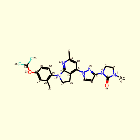 CC(=O)N1CCN(c2ccn(-c3cc(C)nc4c3CCN4c3ccc(OC(F)F)cc3C)n2)C1=O